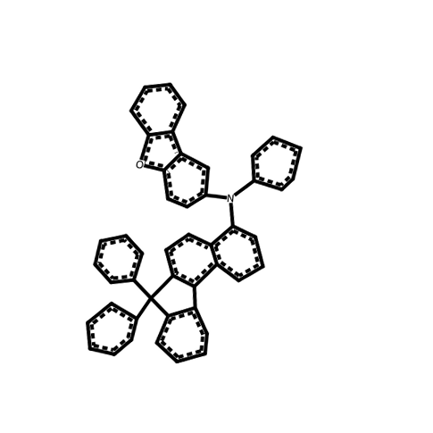 c1ccc(N(c2ccc3oc4ccccc4c3c2)c2cccc3c4c(ccc23)C(c2ccccc2)(c2ccccc2)c2ccccc2-4)cc1